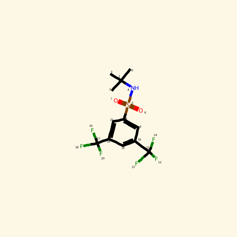 CC(C)(C)NS(=O)(=O)c1cc(C(F)(F)F)cc(C(F)(F)F)c1